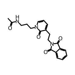 CC(=O)NCCCn1cccc(CCN2C(=O)c3ccccc3C2=O)c1=O